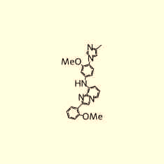 COc1ccccc1-c1cn2cccc(Nc3ccc(-n4cnc(C)c4)c(OC)c3)c2n1